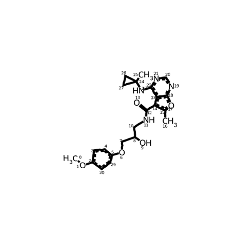 COc1ccc(OCC(O)CNC(=O)c2c(C)oc3ncnc(NC4(C)CC4)c23)cc1